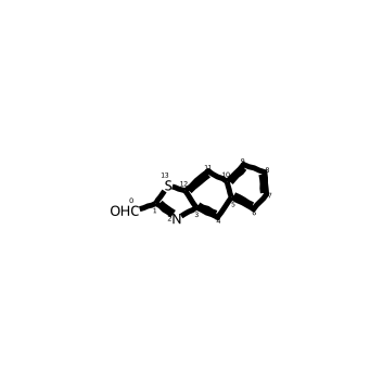 O=Cc1nc2cc3ccccc3cc2s1